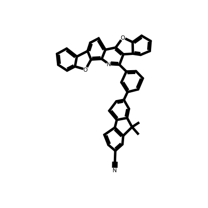 CC1(C)c2cc(C#N)ccc2-c2ccc(-c3cccc(-c4nc5c(ccc6c7ccccc7oc65)c5oc6ccccc6c45)c3)cc21